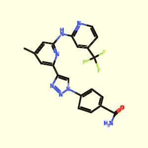 Cc1cc(Nc2cc(C(F)(F)F)ccn2)nc(-c2cn(-c3ccc(C(N)=O)cc3)nn2)c1